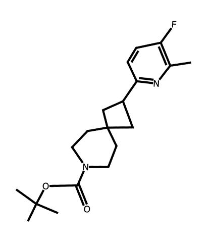 Cc1nc(C2CC3(CCN(C(=O)OC(C)(C)C)CC3)C2)ccc1F